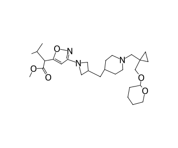 COC(=O)C(c1cc(N2CC(CC3CCN(CC4(COC5CCCCO5)CC4)CC3)C2)no1)C(C)C